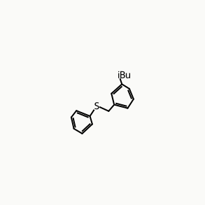 CCC(C)c1cccc(CSc2ccccc2)c1